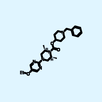 CCOc1cnc(N2C[C@@H](C)N(C(=O)OC3CCN(Cc4ccccc4)CC3)[C@@H](C)C2)nc1